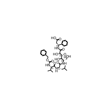 CC(C)C[C@H](NC(=O)[C@@H](NC(=O)OCc1ccccc1)C(C)C)C(=O)N[C@@H](CO)[C@@H](O)[C@@H](O)[C@H](O)C(=O)N[C@@H](CC(=O)O)c1ccccc1